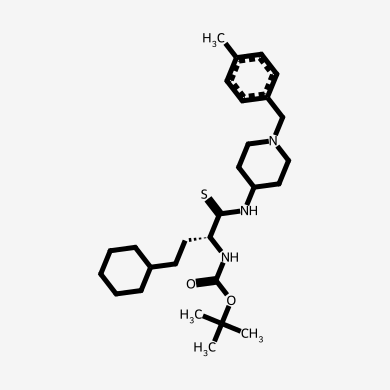 Cc1ccc(CN2CCC(NC(=S)[C@@H](CCC3CCCCC3)NC(=O)OC(C)(C)C)CC2)cc1